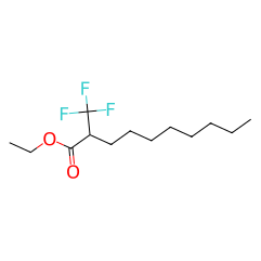 CCCCCCCCC(C(=O)OCC)C(F)(F)F